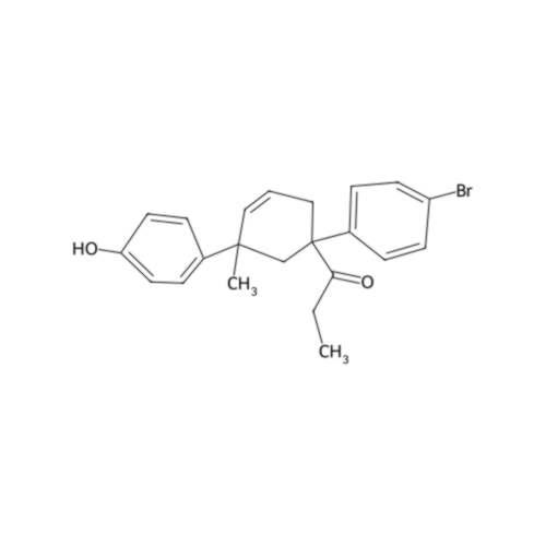 CCC(=O)C1(c2ccc(Br)cc2)CC=CC(C)(c2ccc(O)cc2)C1